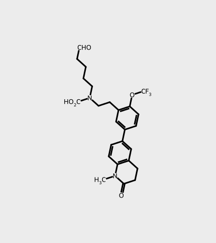 CN1C(=O)CCc2cc(-c3ccc(OC(F)(F)F)c(CCN(CCCCC=O)C(=O)O)c3)ccc21